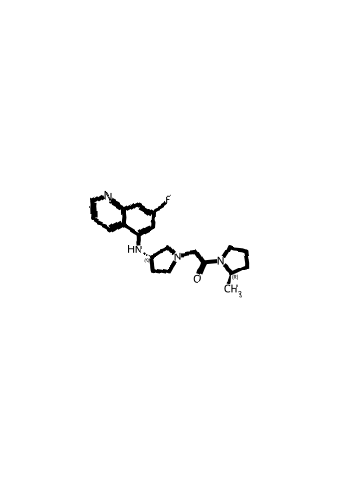 C[C@@H]1CCCN1C(=O)CN1CC[C@H](Nc2cc(F)cc3ncccc23)C1